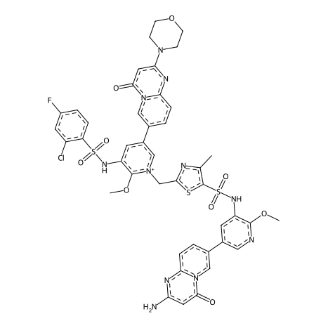 COc1ncc(-c2ccc3nc(N)cc(=O)n3c2)cc1NS(=O)(=O)c1sc(C[n+]2cc(-c3ccc4nc(N5CCOCC5)cc(=O)n4c3)cc(NS(=O)(=O)c3ccc(F)cc3Cl)c2OC)nc1C